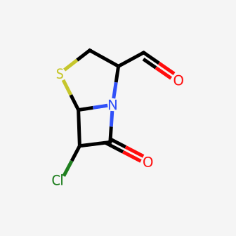 O=CC1CSC2C(Cl)C(=O)N12